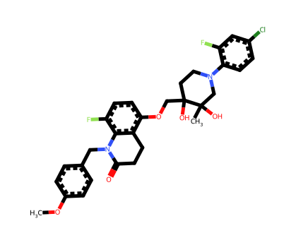 COc1ccc(CN2C(=O)CCc3c(OCC4(O)CCN(c5ccc(Cl)cc5F)CC4(C)O)ccc(F)c32)cc1